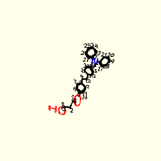 OCCCOc1ccc(CCc2ccc(N(c3ccccc3)c3ccccc3)cc2)cc1